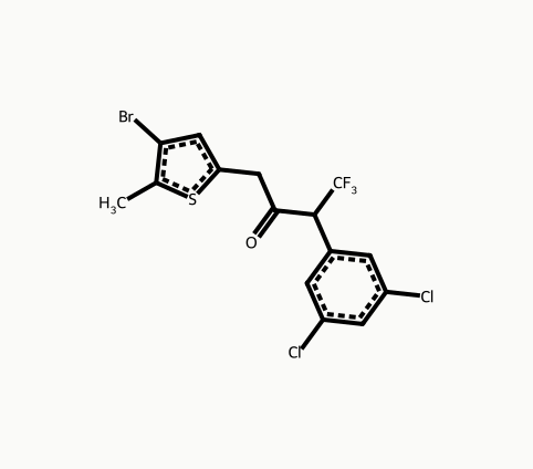 Cc1sc(CC(=O)C(c2cc(Cl)cc(Cl)c2)C(F)(F)F)cc1Br